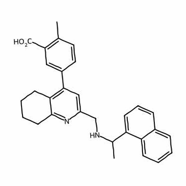 Cc1ccc(-c2cc(CNC(C)c3cccc4ccccc34)nc3c2CCCC3)cc1C(=O)O